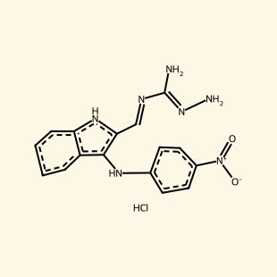 Cl.NN=C(N)N=Cc1[nH]c2ccccc2c1Nc1ccc([N+](=O)[O-])cc1